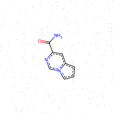 NC(=O)c1cc2cccn2cn1